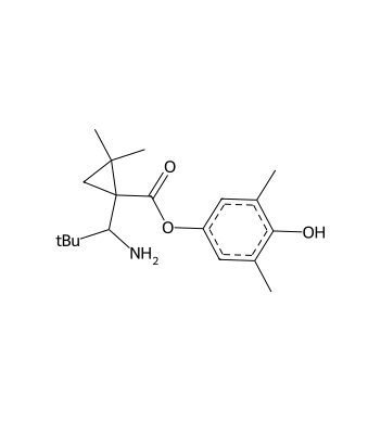 Cc1cc(OC(=O)C2(C(N)C(C)(C)C)CC2(C)C)cc(C)c1O